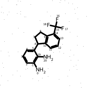 Nc1cccc(C2CCc3c2cccc3C(F)(F)F)c1N